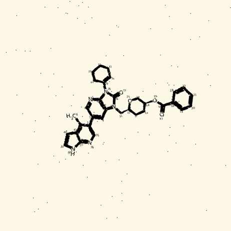 Cc1c(-c2cnc3c(c2)n(C[C@@H]2CC[C@H](OC(=O)c4ccccc4)CO2)c(=O)n3C2=CCCCC2)cnc2[nH]ccc12